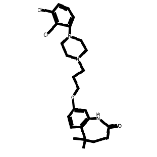 CC1(C)CCC(=O)Nc2cc(OCCCN3CCN(c4cccc(Cl)c4Cl)CC3)ccc21